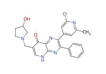 Cc1cc(-c2nc3c(=O)c(CN4CCC(O)C4)c[nH]c3nc2-c2ccccc2)cc(Cl)n1